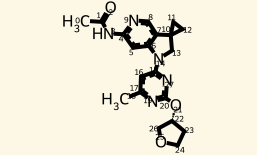 CC(=O)Nc1cc2c(cn1)C1(CC1)CN2c1cc(C)nc(O[C@@H]2CCOC2)n1